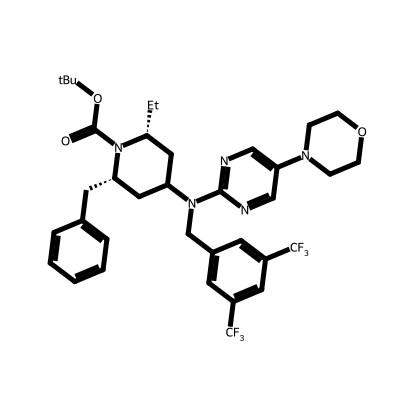 CC[C@@H]1CC(N(Cc2cc(C(F)(F)F)cc(C(F)(F)F)c2)c2ncc(N3CCOCC3)cn2)C[C@H](Cc2ccccc2)N1C(=O)OC(C)(C)C